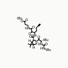 C#CCCC(NC(=O)[C@@H]1[C@@H]2[C@H](CN1C(=O)[C@@H](NC(=O)NC(C)(C)C)C(C)(C)C)C2(C)C)C(=O)C(=O)NCCC(=O)OC(C)(C)C